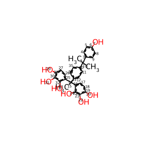 CC(C)(c1ccc(O)cc1)c1ccc(C(C)(c2ccc(O)c(O)c2O)c2ccc(O)c(O)c2O)cc1